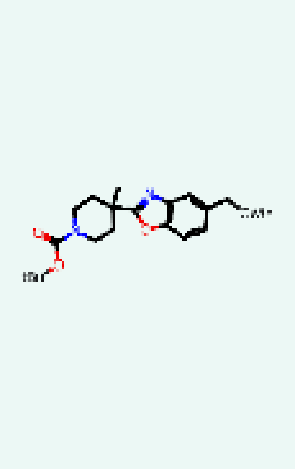 COCc1ccc2oc(C3(C)CCN(C(=O)OC(C)(C)C)CC3)nc2c1